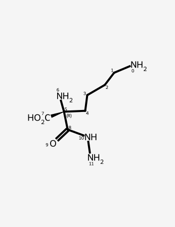 NCCCC[C@](N)(C(=O)O)C(=O)NN